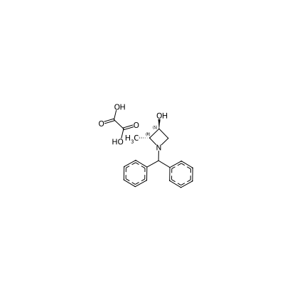 C[C@@H]1[C@@H](O)CN1C(c1ccccc1)c1ccccc1.O=C(O)C(=O)O